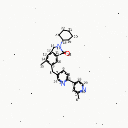 Cc1cc(-c2ccc(Cc3cc4c(cc3C)CN(C3CCCCC3)C4=O)cn2)ccn1